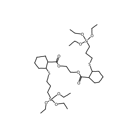 CCO[Si](CCCSC1CCCCC1C(=O)OCCOC(=O)C1CCCCC1SCCC[Si](OCC)(OCC)OCC)(OCC)OCC